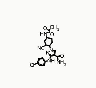 CS(=O)(=O)NC1CCC(n2cc(C(N)=O)c(Nc3ccc(Cl)cc3)n2)C(C#N)C1